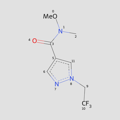 CON(C)C(=O)c1cnn(CC(F)(F)F)c1